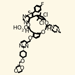 Cc1c(Cl)c2c(Cl)c(C)c1-c1c(-c3ccc(F)cc3)sc3ncnc(c13)O[C@@H](C(=O)O)Cc1cc(ccc1OCc1ccnc([C@H]3CC[C@H](OC[C@@H]4COCCO4)CC3)n1)OC[C@@H](CN1CCN(C)CC1)O2